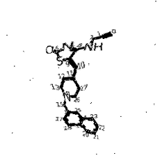 C#CCNC1=NC(=O)S/C1=C\C1CCN(Cc2ccc3ccccc3c2)CC1